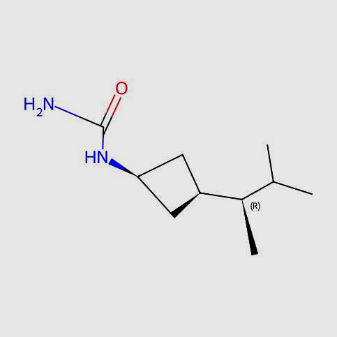 CC(C)[C@@H](C)[C@H]1C[C@@H](NC(N)=O)C1